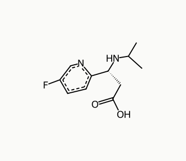 CC(C)N[C@H](CC(=O)O)c1ccc(F)cn1